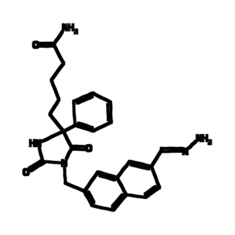 NN=Cc1ccc2ccc(CN3C(=O)NC(CCCCC(N)=O)(c4ccccc4)C3=O)cc2c1